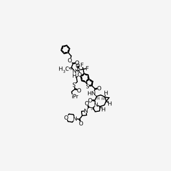 CC(C)CC(=O)SCCOP(=O)(N[C@@H](C)C(=O)OCc1ccccc1)C(F)(F)c1ccc2sc(C(=O)N[C@H]3C[C@@H]4C[C@@H]4C[C@H]4CC[C@@H](C(=O)N5CC(C(=O)N6CCOCC6)C5)N4C3=O)cc2c1